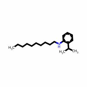 CCCCCCCCCCNc1ccccc1C(C)C